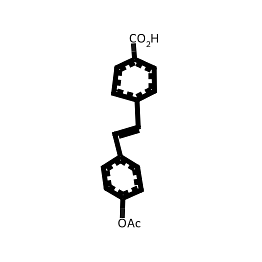 CC(=O)Oc1ccc(/C=C/c2ccc(C(=O)O)cc2)cc1